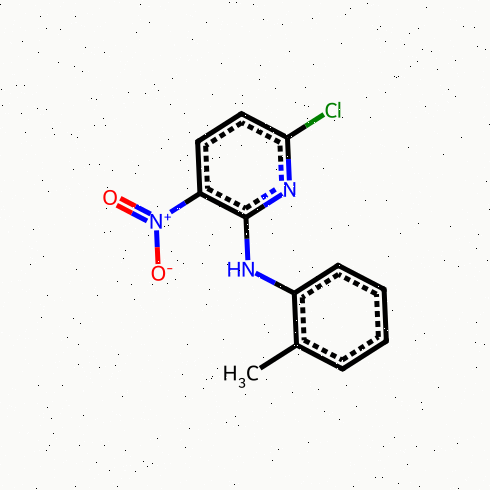 Cc1ccccc1Nc1nc(Cl)ccc1[N+](=O)[O-]